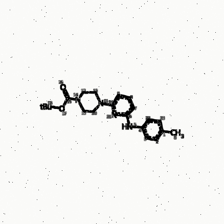 Cc1ccc(Nc2cccc(N3CCN(C(=O)OC(C)(C)C)CC3)n2)cc1